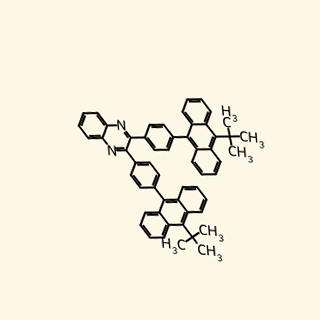 CC(C)(C)c1c2ccccc2c(-c2ccc(-c3nc4ccccc4nc3-c3ccc(-c4c5ccccc5c(C(C)(C)C)c5ccccc45)cc3)cc2)c2ccccc12